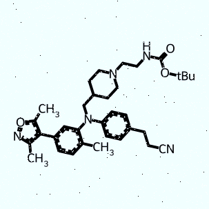 Cc1ccc(-c2c(C)noc2C)cc1N(CC1CCN(CCNC(=O)OC(C)(C)C)CC1)c1ccc(CCC#N)cc1